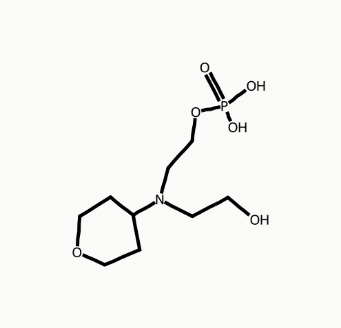 O=P(O)(O)OCCN(CCO)C1CCOCC1